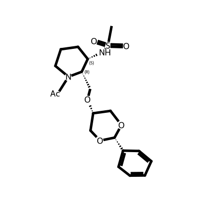 CC(=O)N1CCC[C@H](NS(C)(=O)=O)[C@@H]1CO[C@H]1CO[C@@H](c2ccccc2)OC1